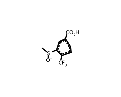 C[S+]([O-])c1cc(C(=O)O)ccc1C(F)(F)F